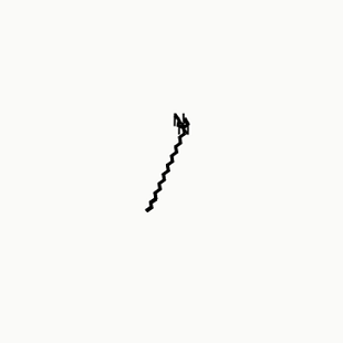 C=CC=CCCCCCCCCCCCCCCN1C=CN(C)C1